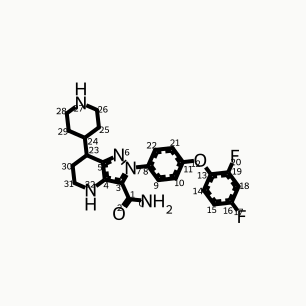 NC(=O)c1c2c(nn1-c1ccc(Oc3ccc(F)cc3F)cc1)C(C1CCNCC1)CCN2